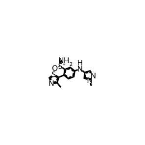 Cc1ncsc1-c1ccc(Nc2cnn(C)c2)cc1[S+](N)[O-]